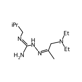 CCN(CC)C/C(C)=N\N/C(N)=N\CC(C)C